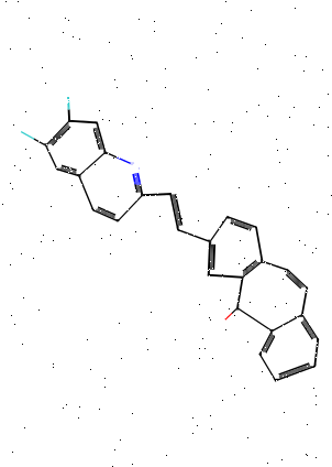 OC1c2ccccc2C=Cc2ccc(C=Cc3ccc4cc(F)c(F)cc4n3)cc21